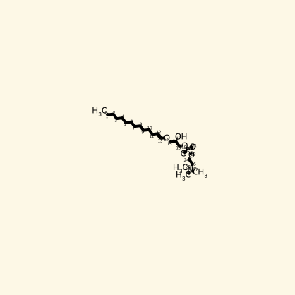 CCCCCCCCCCCC/C=C/OC[C@@H](O)COP(=O)([O-])OCC[N+](C)(C)C